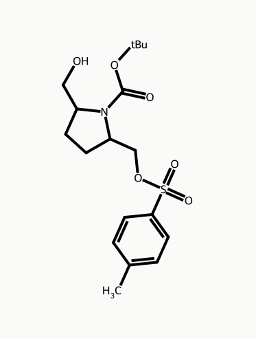 Cc1ccc(S(=O)(=O)OCC2CCC(CO)N2C(=O)OC(C)(C)C)cc1